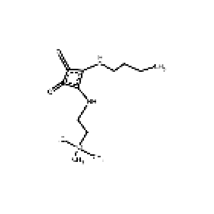 CCCCNc1c(NCC[N+](C)(C)C)c(=O)c1=O